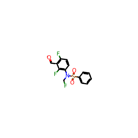 O=Cc1c(F)ccc(N(CF)S(=O)(=O)c2ccccc2)c1F